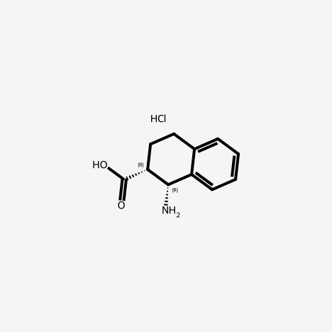 Cl.N[C@H]1c2ccccc2CC[C@H]1C(=O)O